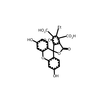 CCc1c(C(=O)O)c(C(=O)O)c2c(c1C(=O)O)C(=O)OC21c2ccc(O)cc2Oc2cc(O)ccc21